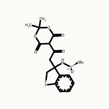 CC1(C)OC(=O)C(C(=O)CC(CF)(N[S@+]([O-])C(C)(C)C)c2ccccc2F)C(=O)O1